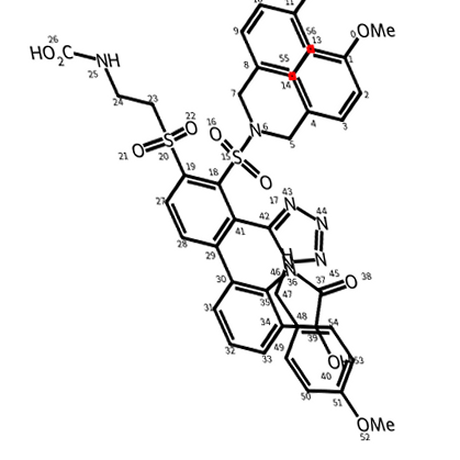 COc1ccc(CN(Cc2ccc(OC)cc2)S(=O)(=O)c2c(S(=O)(=O)CCNC(=O)O)ccc(-c3cccc4c3NC(=O)C4O)c2-c2nnnn2Cc2ccc(OC)cc2)cc1